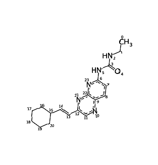 CCNC(=O)Nc1ccc2ncc(C=CC3CCCCC3)nc2n1